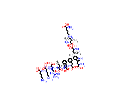 CC(C)C[C@H](N)C(=O)O.CC[C@H](C)[C@H](N)C(=O)O.CC[C@H](C)[C@H](N)C(=O)O.N=C(N)NCCC[C@H](N)C(=O)O.NCCCC[C@H](N)C(=O)O.NCCCC[C@H](N)C(=O)O.NCCCC[C@H](N)C(=O)O.N[C@@H](Cc1c[nH]c2ccccc12)C(=O)O.N[C@@H](Cc1ccccc1)C(=O)O.N[C@@H](Cc1ccccc1)C(=O)O